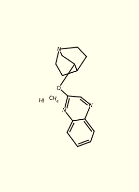 C.I.c1ccc2nc(OC3CN4CCC3CC4)cnc2c1